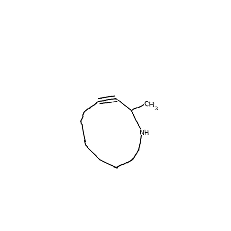 CC1C#CCCCCCCCN1